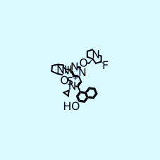 [O-][S+]1c2c(nc(OC[C@@]34CCCN3C[C@H](F)C4)nc2N2CC3CCC(C2)N3)C=C(c2cc(O)cc3ccccc23)N1C1CC1